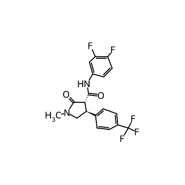 CN1C[C@H](c2ccc(C(F)(F)F)cc2)[C@@H](C(=O)Nc2ccc(F)c(F)c2)C1=O